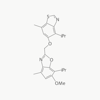 COc1cc(C)c2nc(COc3cc(C)c4scnc4c3C(C)C)oc2c1C(C)C